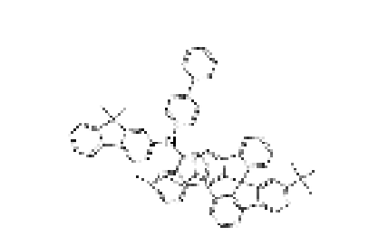 CCCCc1ccc2c(c1)C1(c3ccccc3-2)c2cc(C(C)(C)C)ccc2-c2cccc(-c3ccc(N(c4ccc(-c5ccccc5)cc4)c4ccc5c(c4)C(C)(C)c4ccccc4-5)c4ccccc34)c21